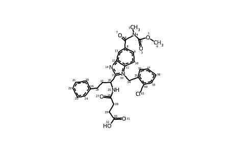 COC(=O)N(C)C(=O)c1ccc2c(c1)nc(C(CCc1ccccc1)NC(=O)CCC(=O)O)n2Cc1ccccc1Cl